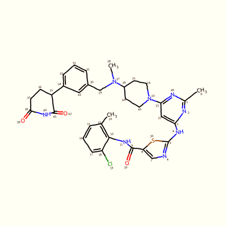 Cc1nc(Nc2ncc(C(=O)Nc3c(C)cccc3Cl)s2)cc(N2CCC(N(C)Cc3cccc(C4CCC(=O)NC4=O)c3)CC2)n1